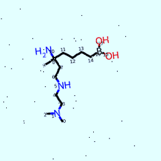 CN(C)CCNCCC(C)(N)CCCCB(O)O